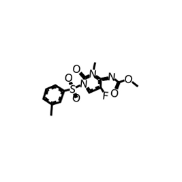 COC(=O)/N=c1\c(F)cn(S(=O)(=O)c2cccc(C)c2)c(=O)n1C